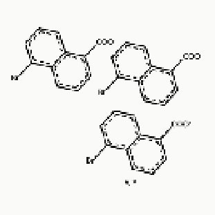 O=C([O-])c1cccc2c(Br)cccc12.O=C([O-])c1cccc2c(Br)cccc12.O=C([O-])c1cccc2c(Br)cccc12.[Al+3]